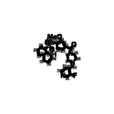 COc1cc(C(=O)N2CCN(Cc3ccncc3F)CC2)ccc1NS(=O)(=O)C1=CC=CC2=CC=CNC21